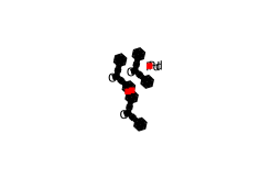 O=C(C#Cc1ccccc1)C#Cc1ccccc1.O=C(C#Cc1ccccc1)C#Cc1ccccc1.O=C(C#Cc1ccccc1)C#Cc1ccccc1.[Pd].[Pd]